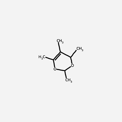 CC1=C(C)C(C)OC(C)O1